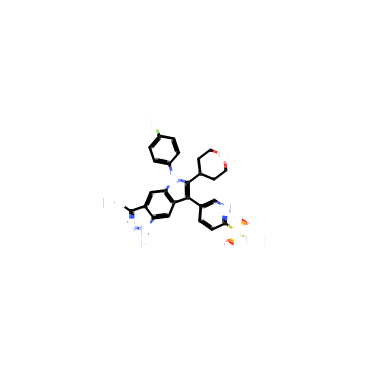 Cc1n[nH]c2cc3c(-c4ccc(S(C)(=O)=O)nc4)c(C4CCOCC4)n(-c4ccc(F)cc4)c3cc12